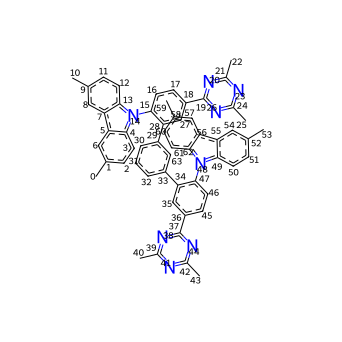 Cc1ccc2c(c1)c1cc(C)ccc1n2-c1ccc(-c2nc(C)nc(C)n2)cc1-c1cccc(-c2cc(-c3nc(C)nc(C)n3)ccc2-n2c3ccc(C)cc3c3cc(C)ccc32)c1